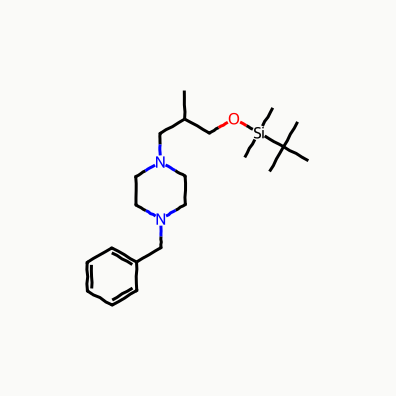 CC(CO[Si](C)(C)C(C)(C)C)CN1CCN(Cc2ccccc2)CC1